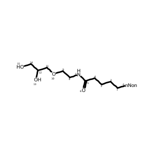 CCCCCCCCCCCCCC(=O)NCCOCC(O)CO